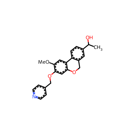 COc1cc2c(cc1OCc1ccncc1)OCc1cc(C(C)O)ccc1-2